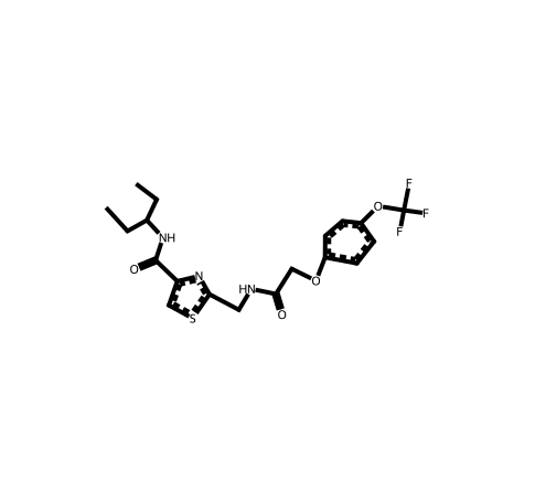 CCC(CC)NC(=O)c1csc(CNC(=O)COc2ccc(OC(F)(F)F)cc2)n1